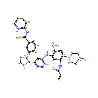 C=CC(=O)Nc1cc(Nc2cc(N3OCC[C@@H]3c3cccc(C(=O)Nc4ccccn4)c3)ncn2)c(OC)cc1N1CCN(C)CC1